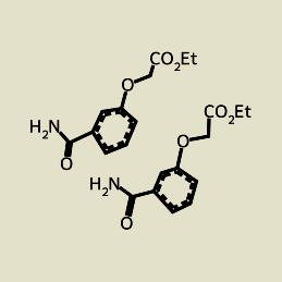 CCOC(=O)COc1cccc(C(N)=O)c1.CCOC(=O)COc1cccc(C(N)=O)c1